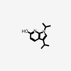 CC(C)c1cn(C(C)C)c2nc(O)ccc12